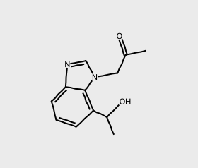 CC(=O)Cn1cnc2cccc(C(C)O)c21